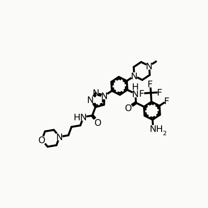 CN1CCN(c2ccc(-n3cc(C(=O)NCCCN4CCOCC4)nn3)cc2NC(=O)c2cc(N)cc(F)c2C(F)(F)F)CC1